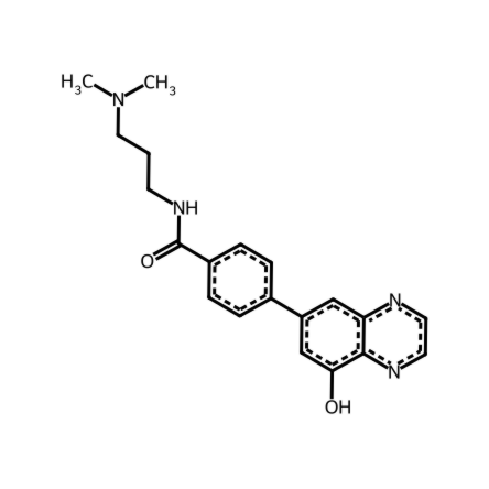 CN(C)CCCNC(=O)c1ccc(-c2cc(O)c3nccnc3c2)cc1